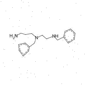 NCCCN(CCNCc1ccccc1)Cc1ccccc1